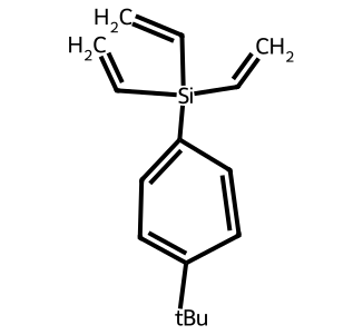 C=C[Si](C=C)(C=C)c1ccc(C(C)(C)C)cc1